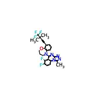 Cc1nnc2nc(N3CCCOc4c(C#CC(C)(C)C(F)(F)F)cccc43)c3c(F)c(F)ccc3n12